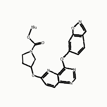 CC(C)(C)OC(=O)N1CCC(Oc2ccc3ncnc(Oc4ccc5cnoc5c4)c3n2)C1